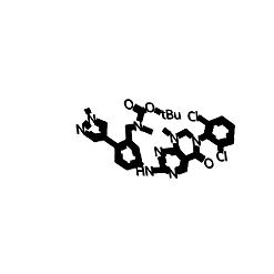 CN(Cc1cc(Nc2ncc3c(n2)N(C)CN(c2c(Cl)cccc2Cl)C3=O)ccc1-c1cnn(C)c1)C(=O)OC(C)(C)C